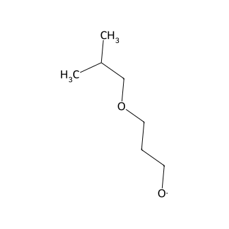 CC(C)COCCC[O]